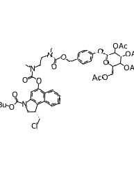 CC(=O)OCC1O[C@@H](Oc2ccc(COC(=O)N(C)CCN(C)C(=O)Oc3cc4c(c5ccccc35)[C@H](CCl)CN4C(=O)OC(C)(C)C)cc2)C(OC(C)=O)C(OC(C)=O)C1OC(C)=O